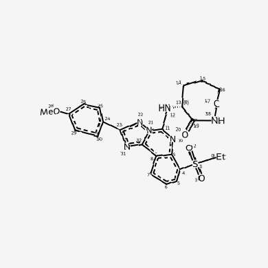 CCS(=O)(=O)c1cccc2c1nc(N[C@@H]1CCCCNC1=O)n1nc(-c3ccc(OC)cc3)nc21